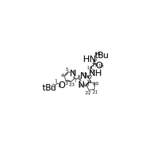 CC(C)(C)COc1ccnc(-c2nc3c(c(NCC(=O)NC(C)(C)C)n2)CCC3)c1